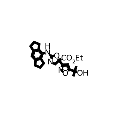 CCOC(=O)C1(c2cc(C(C)(C)O)on2)CN=C(Nc2c3c(cc4c2CCC4)CCC3)O1